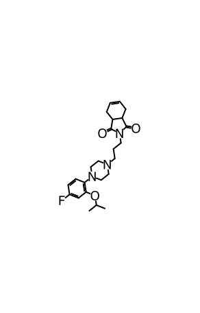 CC(C)Oc1cc(F)ccc1N1CCN(CCCN2C(=O)C3CC=CCC3C2=O)CC1